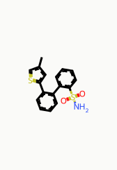 Cc1csc(-c2ccccc2-c2ccccc2S(N)(=O)=O)c1